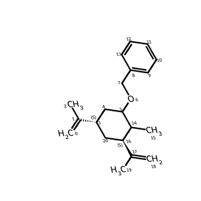 C=C(C)[C@@H]1CC(OCc2ccccc2)C(C)[C@@H](C(=C)C)C1